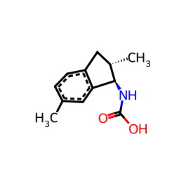 Cc1ccc2c(c1)[C@H](NC(=O)O)[C@@H](C)C2